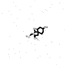 C=CCC1(C(O)OCC)CCC(O)CC1